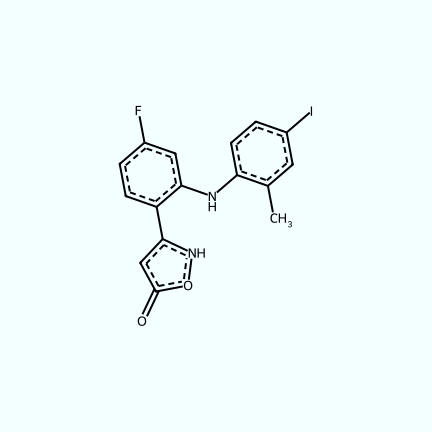 Cc1cc(I)ccc1Nc1cc(F)ccc1-c1cc(=O)o[nH]1